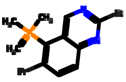 C=P(C)(C)c1c(C(C)C)ccc2nc(CC)ncc12